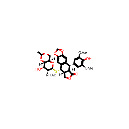 COc1cc([C@H]2c3cc4c(cc3[C@@H](S[C@@H]3O[C@@H]5COC(C)O[C@H]5[C@H](O)[C@H]3NC(C)=O)[C@H]3COC(=O)[C@H]23)OCO4)cc(OC)c1O